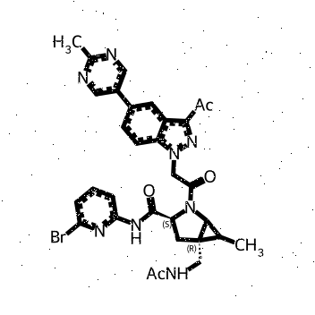 CC(=O)NC[C@]12C[C@@H](C(=O)Nc3cccc(Br)n3)N(C(=O)Cn3nc(C(C)=O)c4cc(-c5cnc(C)nc5)ccc43)C1C2C